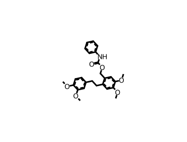 COc1ccc(CCc2cc(OC)c(OC)cc2COC(=O)Nc2ccccc2)cc1OC